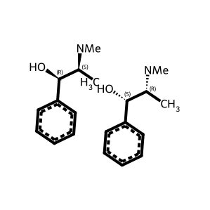 CN[C@@H](C)[C@H](O)c1ccccc1.CN[C@H](C)[C@@H](O)c1ccccc1